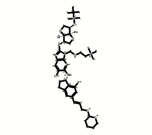 CC(C)(C)[Si](C)(C)O[C@@H]1CO[C@H]2[C@@H]1OC[C@H]2Oc1nc2cc(Cl)c(N[C@H]3CCc4cc(/C=C/COC5CCCCO5)cc(F)c43)nc2n1COCC[Si](C)(C)C